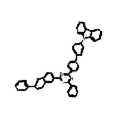 c1ccc(-c2ccc3cc(-c4nc(-c5ccccc5)nc(-c5ccc(-c6ccc(-n7c8ccccc8c8ccccc87)cc6)cc5)n4)ccc3c2)cc1